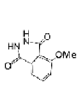 COc1cccc2c(=O)[nH][nH]c(=O)c12